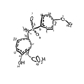 CCOc1ccc(S(=O)(=O)Nc2ccc(O)c(C(=O)O)c2)cc1